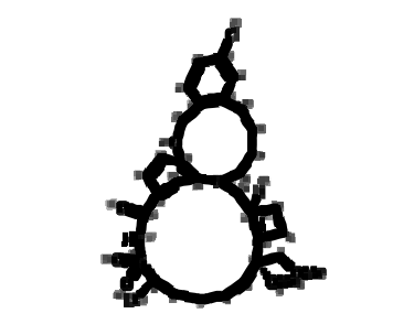 CC[C@@H]1CCCC[C@@](COC)(OC)[C@@H]2CC[C@H]2CN2CCCCc3cc(Cl)ccc3COc3ccc(cc32)C(=O)NS1(=O)=O